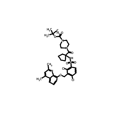 Cc1cc(C)c2cccc(OCc3c(Cl)ccc(S(=O)(=O)NC4(C(=O)N5CCN(C(=O)OC(C)(C)C)CC5)CCCC4)c3Cl)c2n1